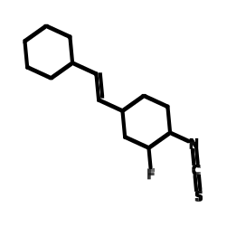 FC1CC(C=CC2CCCCC2)CCC1N=C=S